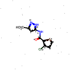 O=C(O)c1cc(NC(=O)c2sccc2Cl)[nH]n1